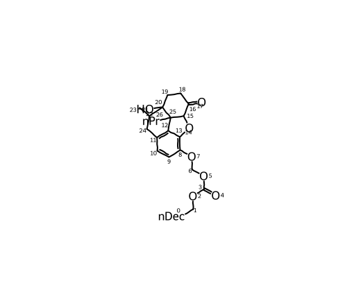 CCCCCCCCCCCOC(=O)OCOc1ccc2c3c1OC1C(=O)CCC(O)(C(C)C2)C31CCC